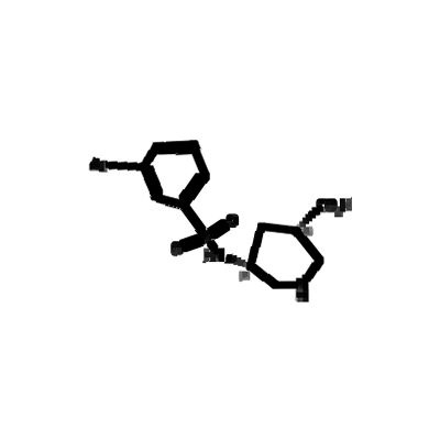 CC(=O)c1cccc(S(=O)(=O)N[C@H]2CNC[C@@H](C(=O)O)C2)c1